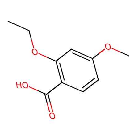 CCOc1cc(OC)ccc1C(=O)O